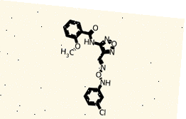 COc1ccccc1C(=O)Nc1nonc1/C=N/ONc1cccc(Cl)c1